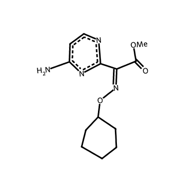 COC(=O)C(=NOC1CCCCC1)c1nccc(N)n1